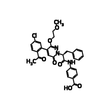 COCCOc1nn([C@@H](Cc2ccccc2)C(=O)Nc2ccc(C(=O)O)cc2)c(=O)cc1-c1cc(Cl)ccc1C(C)=O